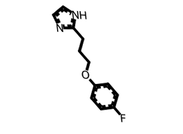 Fc1ccc(OCCCc2ncc[nH]2)cc1